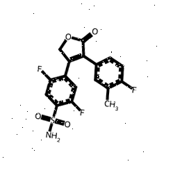 Cc1cc(C2=C(c3cc(F)c(S(N)(=O)=O)cc3F)COC2=O)ccc1F